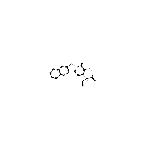 C=C[C@@]1(O)C(=C)OCc2c1cc1n(c2=O)Cc2cc3ccccc3nc2-1